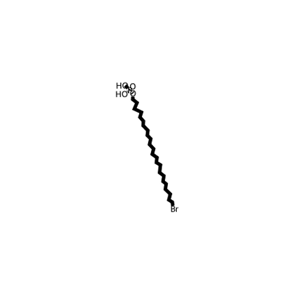 O=P(O)(O)OCCCCCCCCCCCCCCCCCCCCCCCCBr